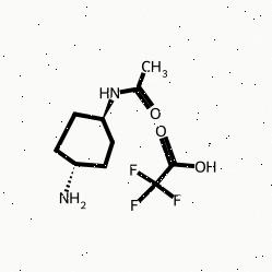 CC(=O)N[C@H]1CC[C@H](N)CC1.O=C(O)C(F)(F)F